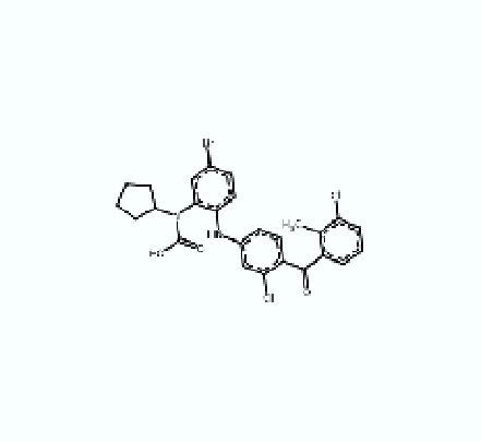 Cc1c(Cl)cccc1C(=O)c1ccc(Nc2ccc(Br)cc2N(C(=O)O)C2CCCC2)cc1Cl